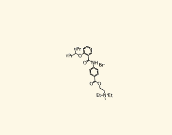 CCCC(CCC)Oc1ccccc1C(=O)Nc1ccc(C(=O)OCC[N+](C)(CC)CC)cc1.[Br-]